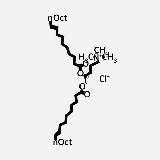 CCCCCCCCC=CCCCCCCCC(=O)OC[C@@H](CCC[N+](C)(C)C)OC(=O)CCCCCCCC=CCCCCCCCC.[Cl-]